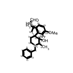 CCCC1(O)C(C)N(Cc2ccccc2)CC[C@@]1(CC(=O)NC=O)c1cc(OC)ccc1C